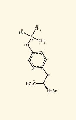 CC(=O)N[C@H](Cc1ccc(O[Si](C)(C)C(C)(C)C)cc1)C(=O)O